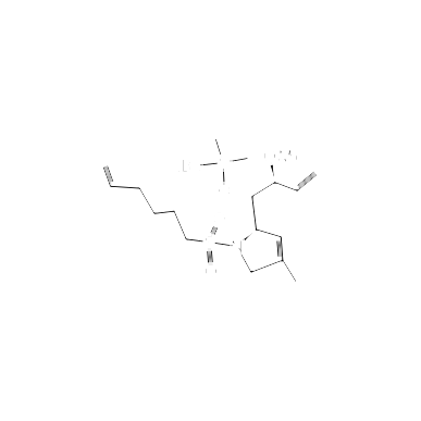 C=CCCCCS(=O)(=O)N1CC(C)=C[C@@H]1[C@H](O[Si](C)(C)C(C)(C)C)[C@H](C=C)OC